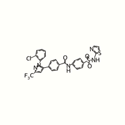 O=C(Nc1ccc(S(=O)(=O)Nc2nccs2)cc1)c1ccc(-c2cc(C(F)(F)F)nn2-c2ccccc2Cl)cc1